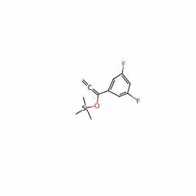 C=C=C(O[Si](C)(C)C)c1cc(F)cc(F)c1